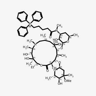 CC[C@H]1OC(=O)[C@H](C)[C@@H](O[C@H]2C[C@@](C)(OC)[C@@H](O)[C@H](C)O2)[C@H](C)[C@@H](O[C@@H]2O[C@H](C)C[C@H](N(C)C(=O)CCCC[PH](c3ccccc3)(c3ccccc3)c3ccccc3)[C@H]2O)[C@](C)(O)C[C@@H](C)CN(C)[C@H](C)[C@@H](O)[C@]1(C)O